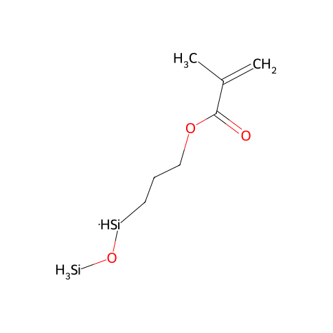 C=C(C)C(=O)OCCC[SiH]O[SiH3]